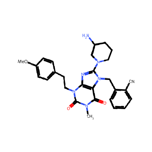 COc1ccc(CCn2c(=O)n(C)c(=O)c3c2nc(N2CCCC(N)C2)n3Cc2ccccc2C#N)cc1